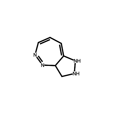 C1=CN=NC2CNNC2=C1